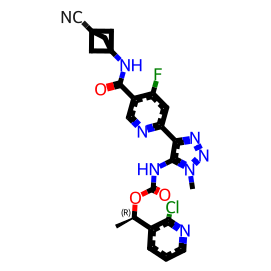 C[C@@H](OC(=O)Nc1c(-c2cc(F)c(C(=O)NC34CC(C#N)(C3)C4)cn2)nnn1C)c1cccnc1Cl